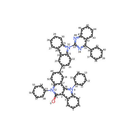 O=c1c2c3ccccc3n(-c3ccccc3)c2c2cc(-c3ccc4c(c3)c3ccccc3n4-c3nc(-c4ccccc4)c4ccccc4n3)ccc2n1-c1ccccc1